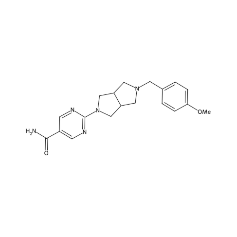 COc1ccc(CN2CC3CN(c4ncc(C(N)=O)cn4)CC3C2)cc1